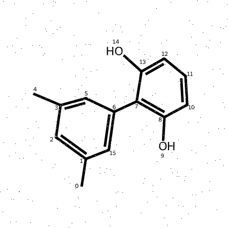 Cc1cc(C)cc(-c2c(O)cccc2O)c1